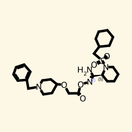 N/C(=N\OC(=O)COC1CCN(Cc2ccccc2)CC1)[C@@H]1CCCCN1S(=O)(=O)CC1CCCCC1